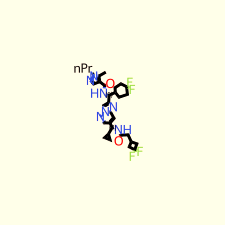 CCCn1ncc(C(=O)N[C@H](c2cn3ncc([C@H](NC(=O)CC4CC(F)(F)C4)C4CC4)cc3n2)C2CCC(F)(F)CC2)c1C